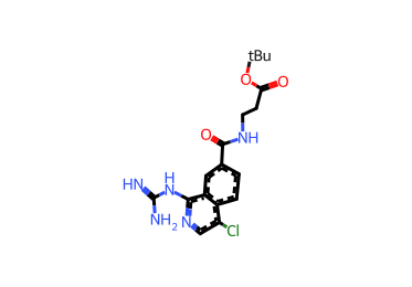 CC(C)(C)OC(=O)CCNC(=O)c1ccc2c(Cl)cnc(NC(=N)N)c2c1